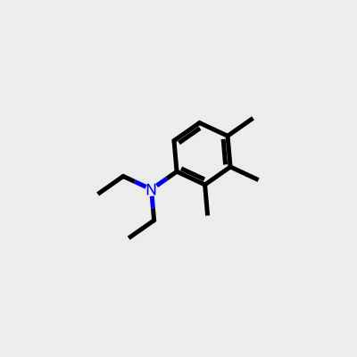 CCN(CC)c1ccc(C)c(C)c1C